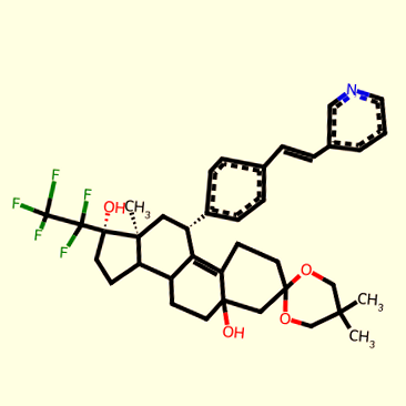 CC1(C)COC2(CCC3=C4C(CCC3(O)C2)C2CC[C@@](O)(C(F)(F)C(F)(F)F)[C@@]2(C)C[C@@H]4c2ccc(C=Cc3cccnc3)cc2)OC1